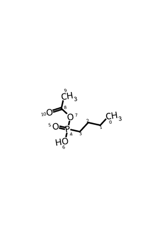 CCCCP(=O)(O)OC(C)=O